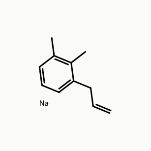 C=CCc1cccc(C)c1C.[Na]